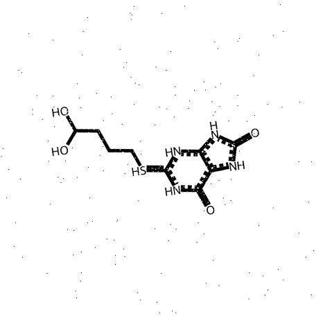 O=c1[nH]c2[nH]c(=[SH]CCCC(O)O)[nH]c(=O)c2[nH]1